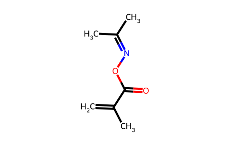 C=C(C)C(=O)ON=C(C)C